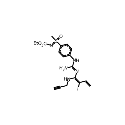 C#CCNC(/N=C(\N)Nc1ccc(S(C)(=O)=NC(=O)OCC)cc1)=C(\I)C=C